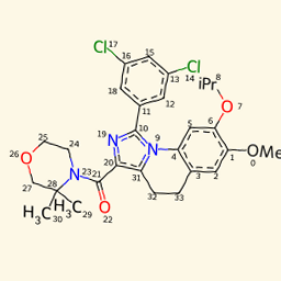 COc1cc2c(cc1OC(C)C)-n1c(-c3cc(Cl)cc(Cl)c3)nc(C(=O)N3CCOCC3(C)C)c1CC2